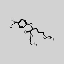 CCOC(=O)C(CCCOC)Oc1ccc([N+](=O)[O-])cc1